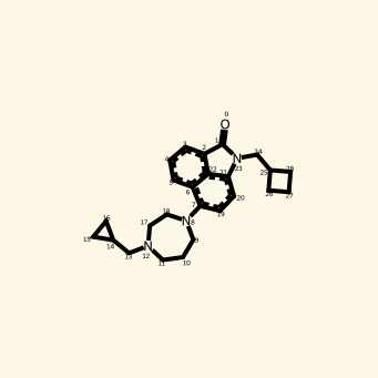 O=C1c2cccc3c(N4CCCN(CC5CC5)CC4)ccc(c23)N1CC1CCC1